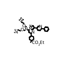 CCOC(=O)C1(C)CC=C(c2cc(N(COCC[Si](C)(C)C)COCC[Si](C)(C)C)n3ncc(-c4ccc(-c5ccccc5)nc4)c3n2)CC1